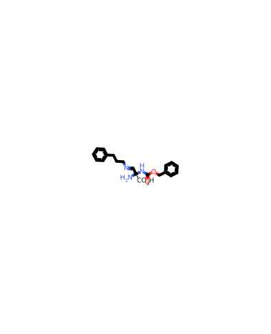 N[C@@](C=NCCCc1ccccc1)(NC(=O)OCc1ccccc1)C(=O)O